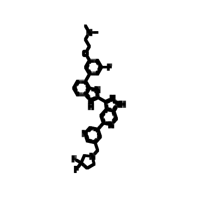 CN(C)CCOc1cc(F)cc(-c2cccc3[nH]c(-c4n[nH]c5cnc(-c6cncc(CN7CCC(F)(F)C7)c6)cc45)nc23)c1